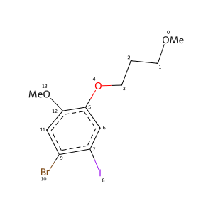 COCCCOc1cc(I)c(Br)cc1OC